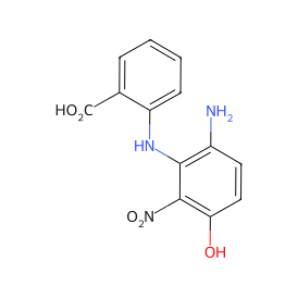 Nc1ccc(O)c([N+](=O)[O-])c1Nc1ccccc1C(=O)O